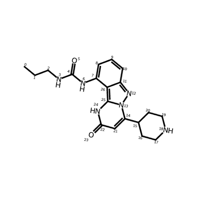 CCCNC(=O)Nc1cccc2nn3c(C4CCNCC4)cc(=O)[nH]c3c12